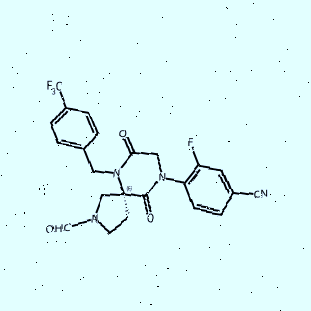 N#Cc1ccc(N2CC(=O)N(Cc3ccc(C(F)(F)F)cc3)[C@@]3(CCN(C=O)C3)C2=O)c(F)c1